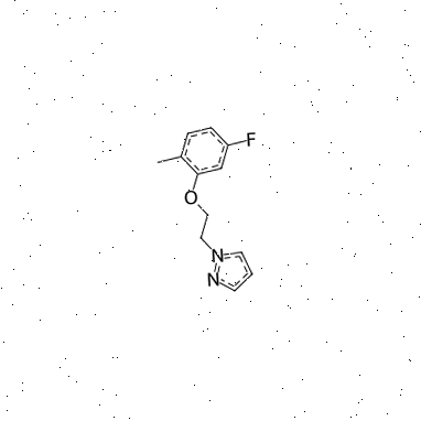 Cc1ccc(F)cc1OCCn1cccn1